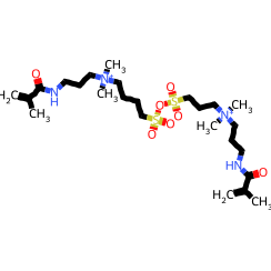 C=C(C)C(=O)NCCC[N+](C)(C)CCCCS(=O)(=O)OS(=O)(=O)CCC[N+](C)(C)CCCNC(=O)C(=C)C